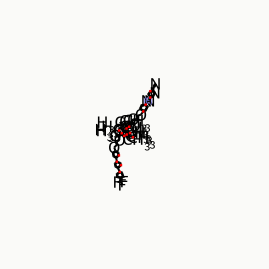 CCC(C)(C)CC(C)(C(=O)OCCOc1ccc(-c2ccc(-c3ccc(C(F)(F)F)cc3)cc2)cc1)C(CC)(CC)C(C)(C)CC(C)(C(=O)OCCOc1ccc(/N=N/c2ccc(C#N)nc2)cc1)C(C)(C)CC